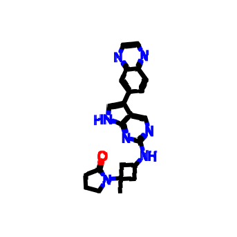 CC1(N2CCCC2=O)CC(Nc2ncc3c(-c4ccc5nccnc5c4)c[nH]c3n2)C1